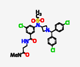 CNC(=O)CCNC(=O)c1cc(Cl)cc(N(C2CN(C(c3ccc(Cl)cc3)c3ccc(Cl)cc3)C2)S(C)(=O)=O)c1